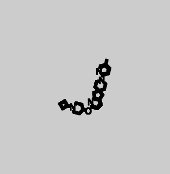 Cc1ccc(N2CCC3(CC2)Cc2ccc(OC4CCN(C5CCC5)CC4)nc2C3)nc1